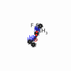 Cn1c(-c2ccccc2C(F)(F)F)nnc1C12CCC(CNC(=O)NCc3ccccc3-c3ccccc3)(CC1)CC2